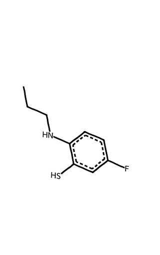 CCCNc1ccc(F)cc1S